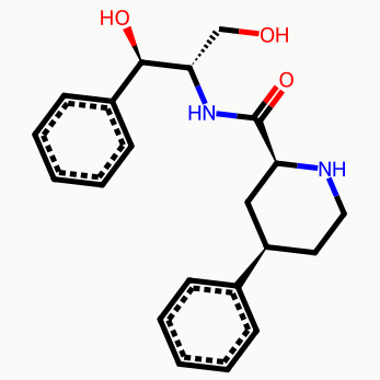 O=C(N[C@@H](CO)[C@H](O)c1ccccc1)[C@@H]1C[C@H](c2ccccc2)CCN1